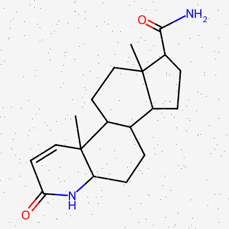 CC12C=CC(=O)NC1CCC1C2CCC2(C)C(C(N)=O)CCC12